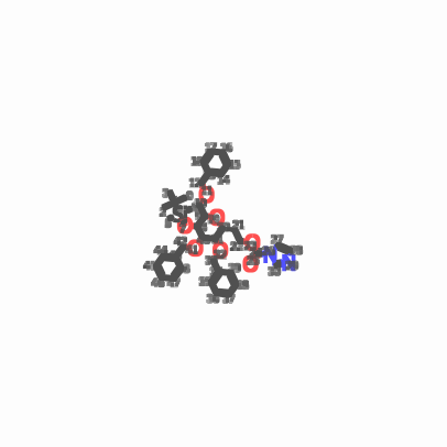 CC(C)(C)[Si](C)(C)OC1C(COCc2ccccc2)O[C@@H](CCOC(=O)n2ccnc2)C(OCc2ccccc2)C1OCc1ccccc1